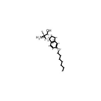 CCCCCCCOc1ccc2c(c1)CC[C@H]2C[C@](C)(N)CO